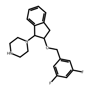 Fc1cc(F)cc(COC2Cc3ccccc3C2N2CCNCC2)c1